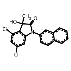 CC1(O)C(=O)N(c2ccc3ccccc3c2)c2cc(Cl)cc(Cl)c21